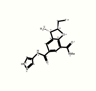 CNC(=O)c1cc(C(=O)Nc2cn[nH]c2)cc2c1O[C@H](CF)[C@H]2C